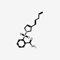 C=CC/C=C/C1=CCN(S(=O)(=O)c2ccccc2C(N)=O)C1